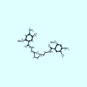 COc1cc(N)c(Cl)cc1C(=O)NCCN1CCC(CNC(=O)c2cc(Cl)c(N)cc2OC)C1